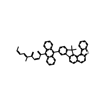 C=C(/C=C\C(=C)c1c2ccccc2c(-c2ccc3c(c2)-c2ccc4ccc5sc6ccccc6c5c4c2C3(C)C)c2ccccc12)/C(C)=C/C=C\C